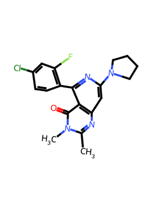 Cc1nc2cc(N3CCCC3)nc(-c3ccc(Cl)cc3F)c2c(=O)n1C